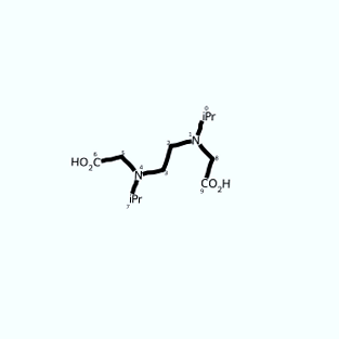 CC(C)N(CCN(CC(=O)O)C(C)C)CC(=O)O